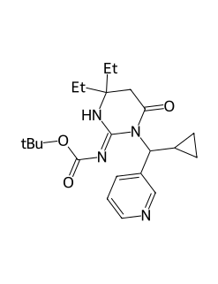 CCC1(CC)CC(=O)N(C(c2cccnc2)C2CC2)C(=NC(=O)OC(C)(C)C)N1